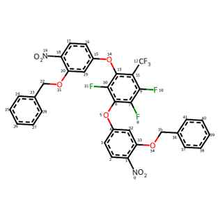 O=[N+]([O-])c1ccc(Oc2c(F)c(F)c(C(F)(F)F)c(Oc3ccc([N+](=O)[O-])c(OCc4ccccc4)c3)c2F)cc1OCc1ccccc1